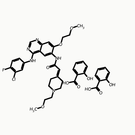 COCCOc1cc2ncnc(Nc3ccc(F)c(Cl)c3)c2cc1NC(=O)C=C1CCN(CCOC)CC1.O=C(O)c1ccccc1O.O=C(O)c1ccccc1O